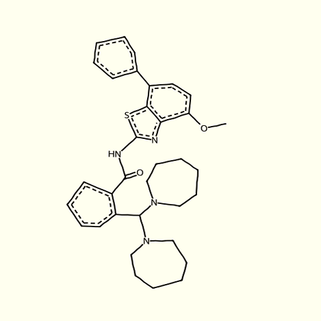 COc1ccc(-c2ccccc2)c2sc(NC(=O)c3ccccc3C(N3CCCCCC3)N3CCCCCC3)nc12